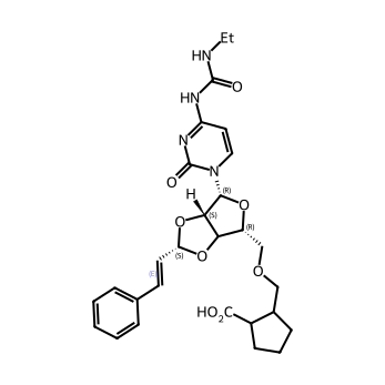 CCNC(=O)Nc1ccn([C@@H]2O[C@H](COCC3CCCC3C(=O)O)C3O[C@H](/C=C/c4ccccc4)O[C@@H]32)c(=O)n1